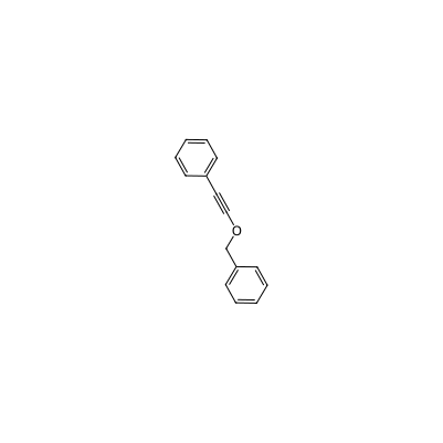 C(#Cc1ccccc1)OCc1ccccc1